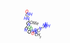 COc1nc(-c2ccnc(-c3cccc(NC(=O)c4nc5c(n4C)CCN(CCc4nn[nH]n4)C5)c3Cl)c2Cl)ccc1CNCC1CCC(=O)N1